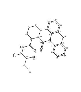 CCC(NC(=O)C1CCCCN1C(=O)N1c2ccccc2Sc2ccccc21)C(O)CF